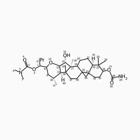 CC(C)C(OC(=O)N(C)C)C1C[C@@H](C)[C@H]2C(O1)[C@H](O)[C@@]1(C)C3CC[C@H]4C(C)(C)C(OC(N)=O)CCC45CC35CCC21C